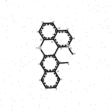 Cc1c2c(cc3ccccc13)Oc1cccc3cc[n+](C)c-2c13